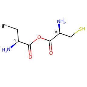 CC(C)C[C@H](N)C(=O)OC(=O)[C@@H](N)CS